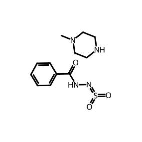 CN1CCNCC1.O=C(NN=S(=O)=O)c1ccccc1